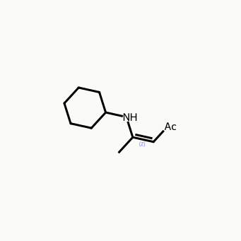 CC(=O)/C=C(/C)NC1CCCCC1